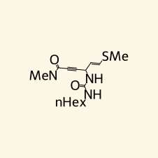 CCCCCCNC(=O)NC(C#CC(=O)NC)/C=C/SC